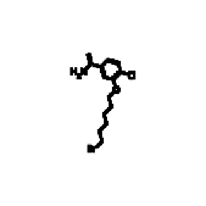 C=C(N)c1ccc(Cl)c(OCCCCCCBr)c1